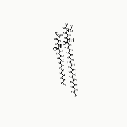 CCCCCCCCCCCCCCCC(=O)NCCCN(C)C.CCCCCCCCCCCCCCCCCCCCCC(=O)NCCCN(CC)CC